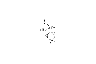 C=CCC(CC)(CCCC)C1OCC(C)(C)CO1